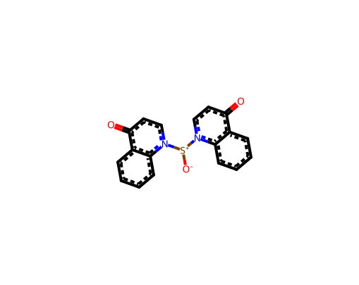 O=c1ccn([S+]([O-])n2ccc(=O)c3ccccc32)c2ccccc12